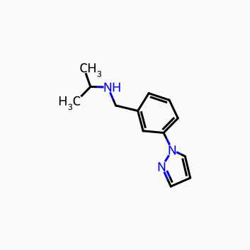 CC(C)NCc1cccc(-n2cccn2)c1